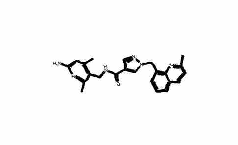 Cc1ccc2cccc(Cn3cc(C(=O)NCc4c(C)cc(N)nc4C)cn3)c2n1